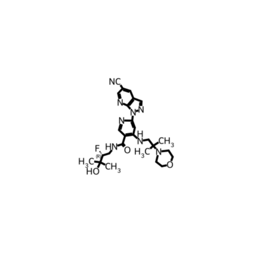 CC(C)(O)[C@H](F)CNC(=O)c1cnc(-n2ncc3cc(C#N)cnc32)cc1NCC(C)(C)N1CCOCC1